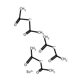 CC(=O)[CH-]C(C)=O.CC(=O)[CH-]C(C)=O.CC(=O)[CH-]C(C)=O.[Eu+3]